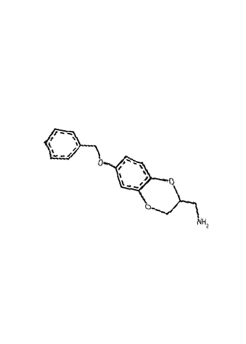 NCC1COc2cc(OCc3ccccc3)ccc2O1